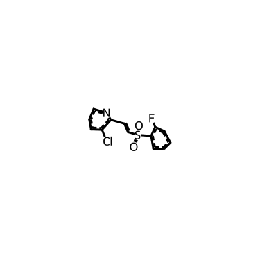 O=S(=O)(/C=C/c1ncccc1Cl)c1ccccc1F